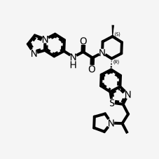 CC(Cc1nc2cc([C@H]3CC[C@H](C)CN3C(=O)C(=O)Nc3ccn4ccnc4c3)ccc2s1)N1CCCC1